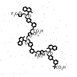 Cc1ccc2ccccc2c1C(=O)N(Cc1ccc(-c2cccc([C@H](Cc3cc(CN(Cc4ccc(-c5cccc([C@@H](Cc6cc(CN(Cc7ccc(-c8cccc(C(C)(C)C(=O)O)c8)cc7)C(=O)c7c(C)ccc8ccccc78)oc6C(F)(F)F)C(=O)O)c5)cc4)C(=O)c4c(C)ccc5ccccc45)oc3C(F)(F)F)C(=O)O)c2)cc1)Cc1ccc(C(F)(F)F)o1